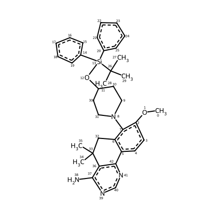 COc1ccc2c(c1N1CCC(O[Si](c3ccccc3)(c3ccccc3)C(C)(C)C)CC1)CC(C)(C)c1c(N)ncnc1-2